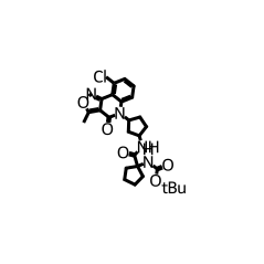 Cc1onc2c1c(=O)n(C1CCC(NC(=O)C3(NC(=O)OC(C)(C)C)CCCC3)C1)c1cccc(Cl)c21